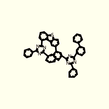 c1ccc(-c2cccc(-c3nc(-c4ccccc4)nc(-c4cccc(-c5ccc6sc7cccc(-c8nc(-c9ccccc9)nc(-c9ccccc9)n8)c7c6c5)c4)n3)c2)cc1